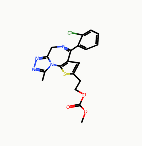 COC(=O)OCCc1cc2c(s1)-n1c(C)nnc1CN=C2c1ccccc1Cl